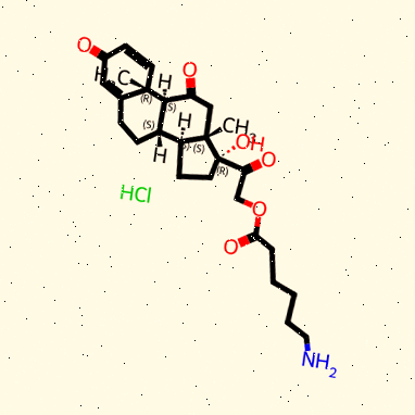 C[C@]12C=CC(=O)C=C1CC[C@@H]1[C@@H]2C(=O)C[C@@]2(C)[C@H]1CC[C@]2(O)C(=O)COC(=O)CCCCCN.Cl